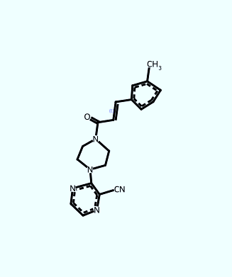 Cc1cccc(/C=C/C(=O)N2CCN(c3nccnc3C#N)CC2)c1